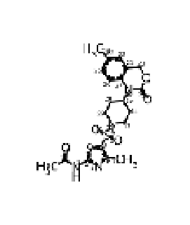 CC(=O)Nc1nc(C)c(S(=O)(=O)N2CCC(N3C(=O)OCc4cc(C)ccc43)CC2)s1